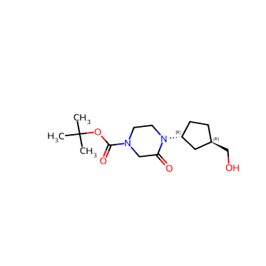 CC(C)(C)OC(=O)N1CCN([C@@H]2CC[C@@H](CO)C2)C(=O)C1